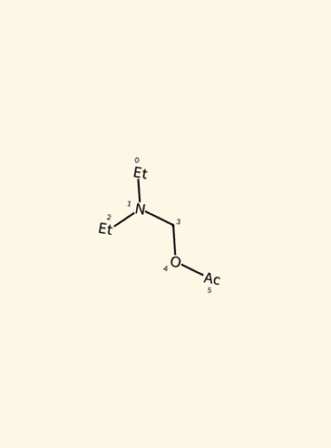 CCN(CC)COC(C)=O